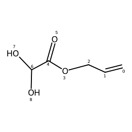 C=CCOC(=O)C(O)O